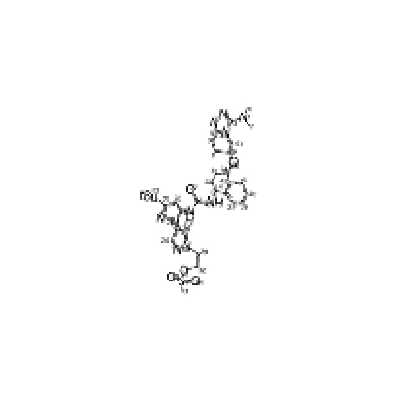 CN(C)c1nnc2ccc(O[C@@H]3CC[C@H](NC(=O)Nc4cc(C(C)(C)C)nn4-c4cnn(CCOS(C)(=O)=O)c4)c4ccccc43)cn12